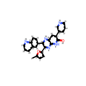 Cc1ccc(-c2nc3[nH]c(=O)c(-c4cccnc4)cc3nc2-c2ccc3ncccc3c2)o1